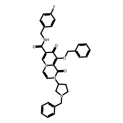 O=C(NCc1ccc(F)cc1)c1cn2ccn(C3CCN(Cc4ccccc4)C3)c(=O)c2c(OCc2ccccc2)c1=O